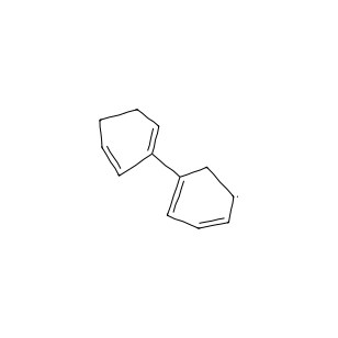 [CH]1C=CC=C(C2=CCCC=C2)C1